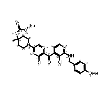 COc1ccc(CNc2nccc(C(=O)c3ncc(N4CCC(C)(NC(=O)OC(C)(C)C)CC4)nc3Cl)c2Cl)cc1